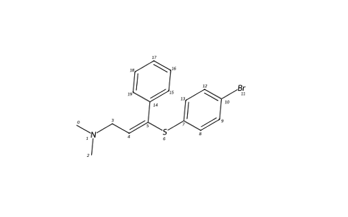 CN(C)CC=C(Sc1ccc(Br)cc1)c1ccccc1